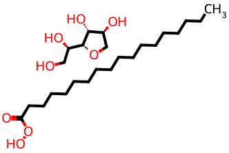 CCCCCCCCCCCCCCCCCC(=O)OO.OC[C@@H](O)[C@H]1OC[C@H](O)[C@H]1O